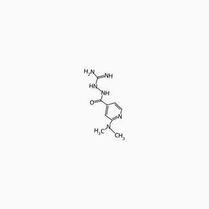 CN(C)c1cc(C(=O)NNC(=N)N)ccn1